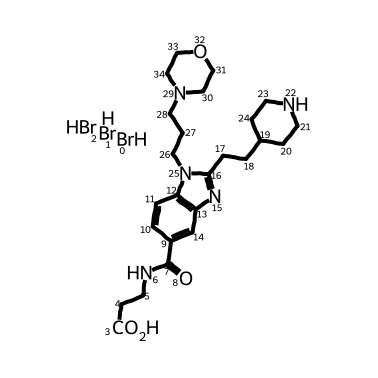 Br.Br.Br.O=C(O)CCNC(=O)c1ccc2c(c1)nc(CCC1CCNCC1)n2CCCN1CCOCC1